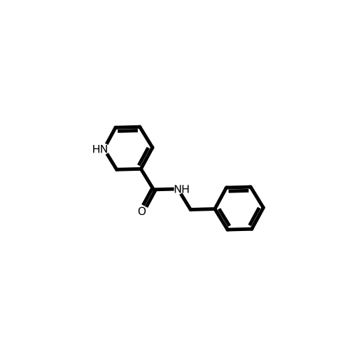 O=C(NCc1ccccc1)C1=CC=CNC1